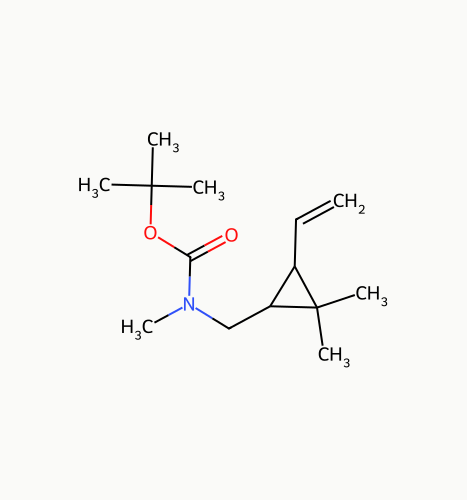 C=CC1C(CN(C)C(=O)OC(C)(C)C)C1(C)C